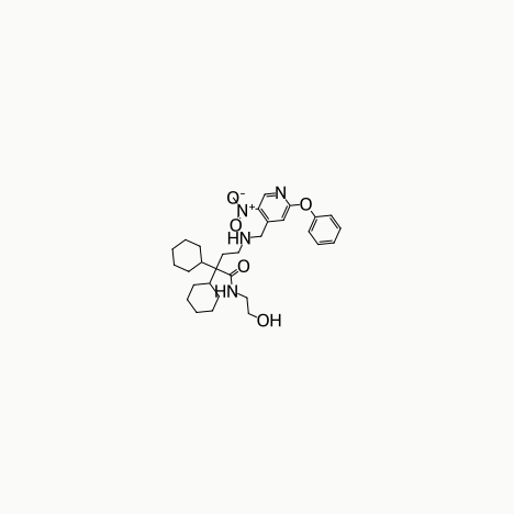 O=C(NCCO)C(CCNCc1cc(Oc2ccccc2)ncc1[N+](=O)[O-])(C1CCCCC1)C1CCCCC1